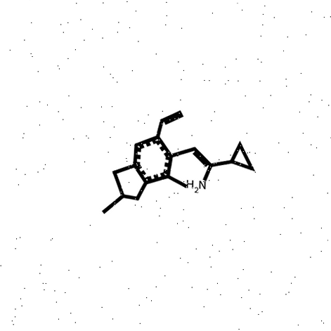 C=Cc1cc2c(c(C)c1/C=C(\N)C1CC1)CC(C)C2